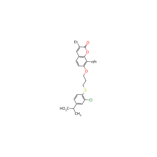 CCCc1c(OCCCSc2ccc(C(C)C(=O)O)cc2Cl)ccc2cc(CC)c(=O)oc12